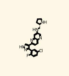 Fc1ccc(Cl)cc1-c1n[nH]cc1-c1ccc2ncc(NC[C@@H]3CCCN3)cc2n1